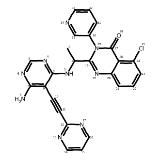 CC(Nc1ncnc(N)c1C#Cc1ncccn1)c1nc2cccc(Cl)c2c(=O)n1-c1cccnc1